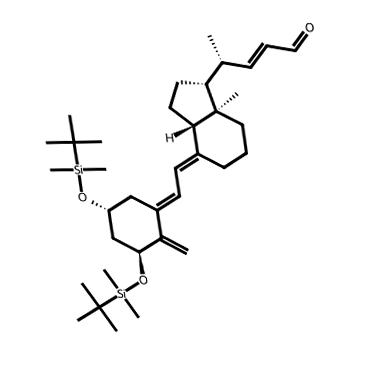 C=C1/C(=C/C=C2\CCC[C@]3(C)[C@@H]([C@H](C)/C=C/C=O)CC[C@@H]23)C[C@@H](O[Si](C)(C)C(C)(C)C)C[C@@H]1O[Si](C)(C)C(C)(C)C